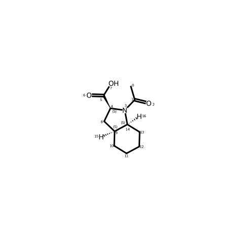 CC(=O)N1[C@H](C(=O)O)C[C@@H]2CCCC[C@@H]21